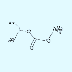 CNOC(=O)OC(C(C)C)C(C)C